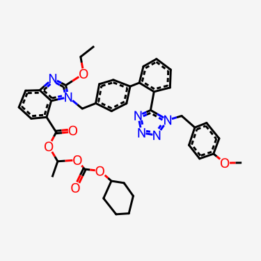 CCOc1nc2cccc(C(=O)OC(C)OC(=O)OC3CCCCC3)c2n1Cc1ccc(-c2ccccc2-c2nnnn2Cc2ccc(OC)cc2)cc1